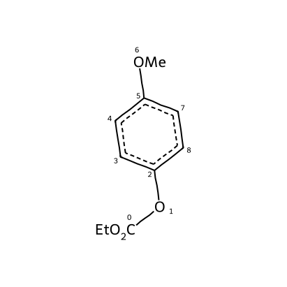 C[CH]OC(=O)Oc1ccc(OC)cc1